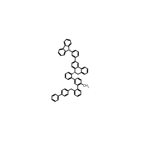 Cc1ccc(-c2ccccc2[C@@H]2Cc3ccccc3-c3cc(-c4cccc(-n5c6ccccc6c6ccccc65)c4)ccc32)cc1-c1ccccc1Cc1ccc(-c2ccccc2)cc1